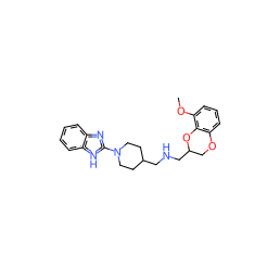 COc1cccc2c1OC(CNCC1CCN(c3nc4ccccc4[nH]3)CC1)CO2